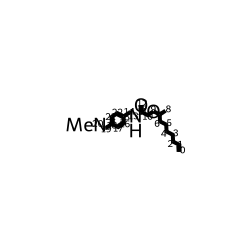 C=CCCCCCC(C)OCC(=O)NCc1ccc(CNC)cc1